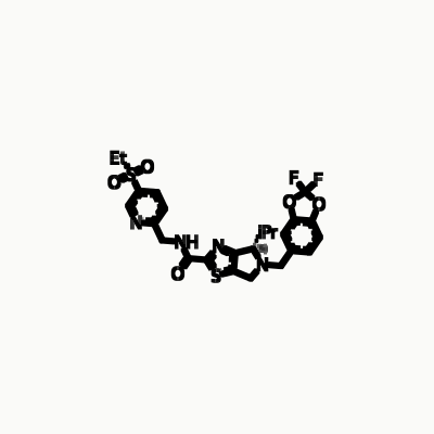 CCS(=O)(=O)c1ccc(CNC(=O)c2nc3c(s2)CN(Cc2ccc4c(c2)OC(F)(F)O4)[C@H]3C(C)C)nc1